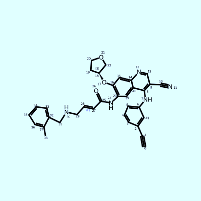 C#Cc1cccc(Nc2c(C#N)cnc3cc(O[C@H]4CCOC4)c(NC(=O)/C=C/CNCc4ccccc4C)cc23)c1